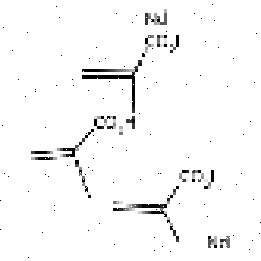 C=C(C)C(=O)O.C=C(C)C(=O)O.C=C(C)C(=O)O.[Nd].[Nd]